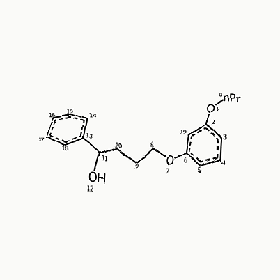 CCCOc1cccc(OCCCC(O)c2ccccc2)c1